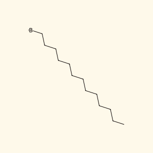 [B]CCCCCCCCCCCCC